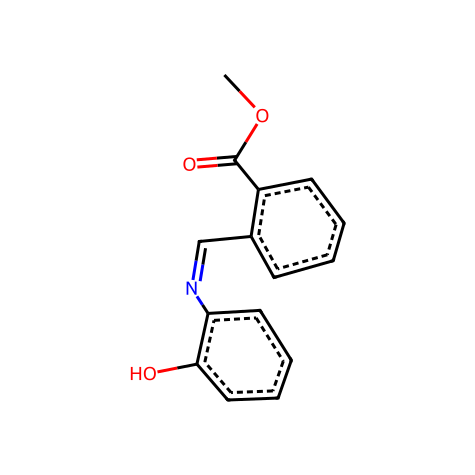 COC(=O)c1ccccc1/C=N\c1ccccc1O